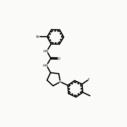 Cc1ccc(N2CCC(NC(=O)Nc3ccccc3Br)C2)cc1F